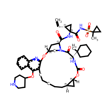 C=C[C@@H]1C[C@]1(NC(=O)[C@@H]1C[C@@H]2CN1C(=O)[C@H](C1(C)CCCCC1)NC(=O)O[C@@H]1C[C@H]1CCCCCc1c(nc3ccccc3c1OC1CCNCC1)O2)C(=O)NS(=O)(=O)C1(C)CC1